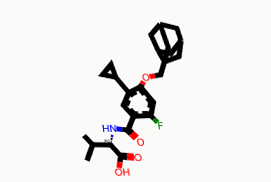 CC(C)[C@H](NC(=O)c1cc(C2CC2)c(OCC23CC4CC(CC2C4)C3)cc1F)C(=O)O